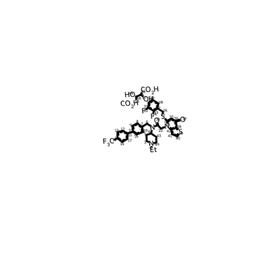 CCN1CCC(N(Cc2ccc(-c3ccc(C(F)(F)F)cc3)cc2)C(=O)Cn2c(SCc3cccc(F)c3F)cc(=O)c3sccc32)CC1.O=C(O)C(O)C(O)C(=O)O